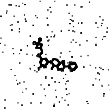 CC1c2cnc(-c3ncccn3)nc2CCN1c1cc(OCC2CS(=O)(=O)C2)cc(F)n1